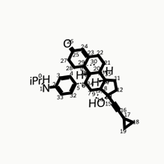 CC(C)Nc1ccc([C@H]2C[C@@]3(C)[C@@H](CC[C@@]3(O)C#CC3CC3)[C@@H]3CCC4=CC(=O)CC[C@]4(C)[C@H]32)cc1